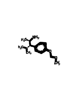 COCOc1ccc([C@@H]([C@H](C)N)N(C)C)cc1